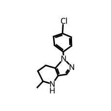 CC1CCc2c(cnn2-c2ccc(Cl)cc2)N1